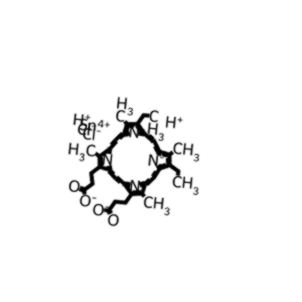 CCc1c(C)c2cc3[n-]c(cc4nc(cc5nc(cc1[n-]2)C(C)=C5CCC(=O)[O-])C(CCC(=O)[O-])=C4C)c(C)c3CC.[Cl-].[Cl-].[H+].[H+].[Sn+4]